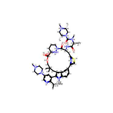 CCn1c(-c2cc(N3CCN(C)CC3)cnc2[C@H](C)OC)c2c3cc(ccc31)-c1csc(n1)C[C@H](NC(=O)[C@H](C(C)C)N(C)C(=O)N1C[C@@H](C)N(C)C[C@H]1C)C(=O)N1CCC[C@@](O)(N1)C(=O)OCC(C)(C)C2